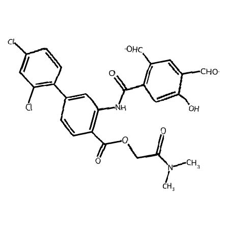 CN(C)C(=O)COC(=O)c1ccc(-c2ccc(Cl)cc2Cl)cc1NC(=O)c1cc(O)c([C]=O)cc1[C]=O